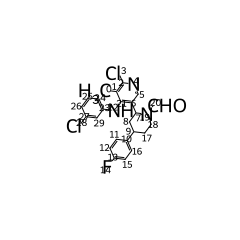 Cc1c(Cl)ncc(C2CC(c3ccc(F)cc3)CCN2C=O)c1Nc1cccc(Cl)c1